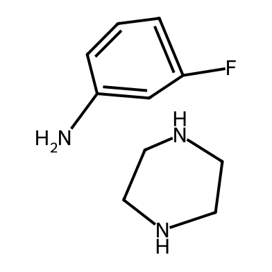 C1CNCCN1.Nc1cccc(F)c1